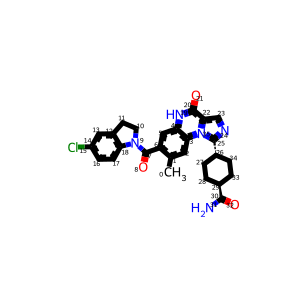 Cc1cc2c(cc1C(=O)N1CCc3cc(Cl)ccc31)[nH]c(=O)c1cnc([C@H]3CC[C@H](C(N)=O)CC3)n12